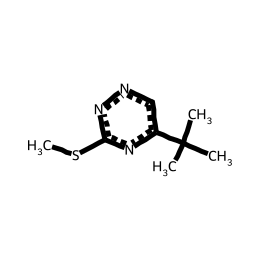 CSc1nncc(C(C)(C)C)n1